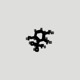 O=S(=O)(F)c1c(F)ccc(F)c1F